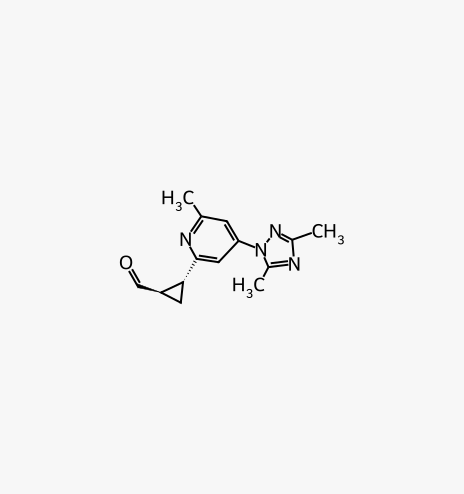 Cc1cc(-n2nc(C)nc2C)cc([C@@H]2C[C@H]2C=O)n1